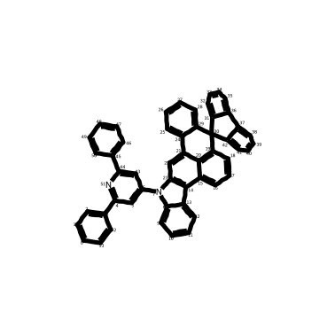 c1ccc(-c2cc(-n3c4ccccc4c4c5cccc6c5c(cc43)-c3ccccc3C63c4ccccc4-c4ccccc43)cc(-c3ccccc3)n2)cc1